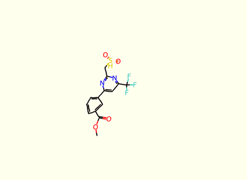 COC(=O)c1cccc(-c2cc(C(F)(F)F)nc(C[SH](=O)=O)n2)c1